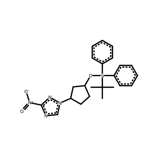 CC(C)(C)[Si](OC1CCC(n2cnc([N+](=O)[O-])n2)C1)(c1ccccc1)c1ccccc1